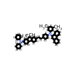 Cc1cc(C)cc(N(c2ccc(/C=C/c3ccc4c(c3)C(C)(C)c3cc(N(c5ccccc5)c5ccccc5)ccc3-4)cc2)c2cc3ccccc3c3ccccc23)c1